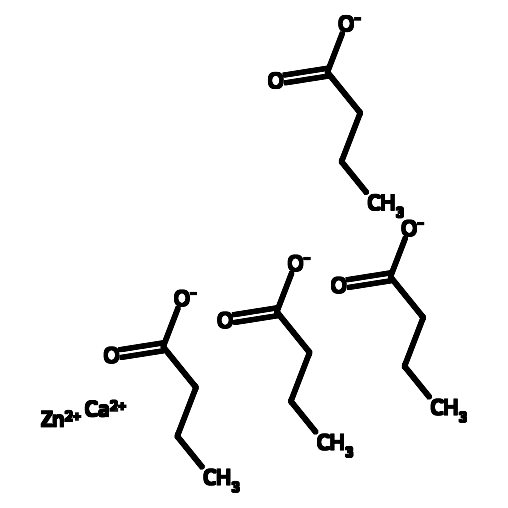 CCCC(=O)[O-].CCCC(=O)[O-].CCCC(=O)[O-].CCCC(=O)[O-].[Ca+2].[Zn+2]